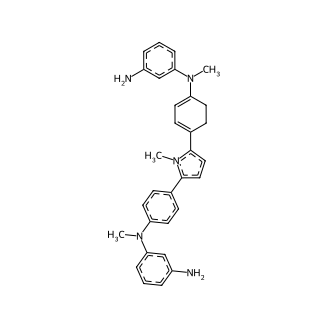 CN(C1=CC=C(c2ccc(-c3ccc(N(C)c4cccc(N)c4)cc3)n2C)CC1)c1cccc(N)c1